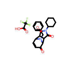 O=C(O)C(F)(F)F.O=C1C=CC2C3C(=O)N(C4CCCCC4)C(=O)C3C1N2Cc1ccccc1